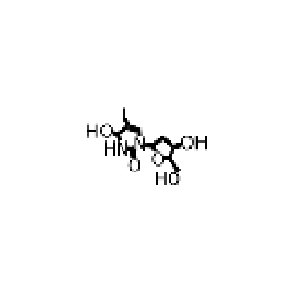 O=C1NC(O)C(I)=CN1C1CC(O)C(CO)O1